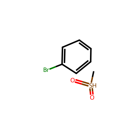 Brc1ccccc1.C[SH](=O)=O